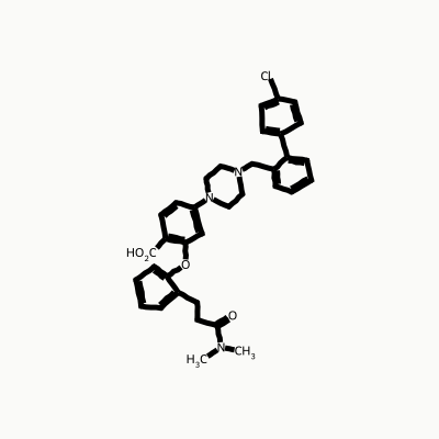 CN(C)C(=O)CCc1ccccc1Oc1cc(N2CCN(Cc3ccccc3-c3ccc(Cl)cc3)CC2)ccc1C(=O)O